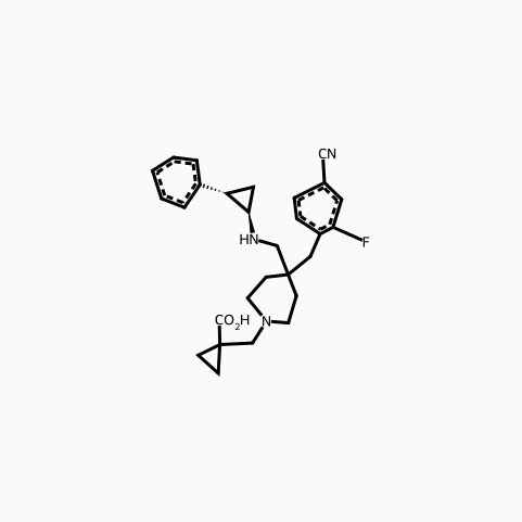 N#Cc1ccc(CC2(CN[C@@H]3C[C@H]3c3ccccc3)CCN(CC3(C(=O)O)CC3)CC2)c(F)c1